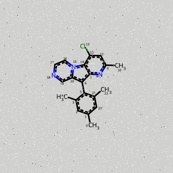 Cc1cc(C)c(-c2c3nc(C)cc(Cl)c3n3ccncc23)c(C)c1